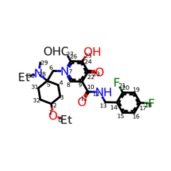 CCOC1CCC(Cn2cc(C(=O)NCc3ccc(F)cc3F)c(=O)c(O)c2C=O)(N(C)CC)CC1